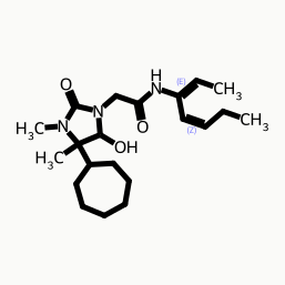 C/C=C(\C=C/CC)NC(=O)CN1C(=O)N(C)C(C)(C2CCCCCC2)C1O